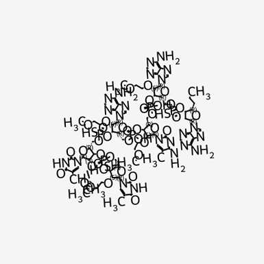 CCC[C@H]1O[C@@H](n2cnc3c(N)ncnc32)CC1OP(=O)(S)OC[C@H]1O[C@@H](n2cnc3c(N)ncnc32)[C@@H](OCCOC)C1OP(=O)(O)OC[C@H]1O[C@@H](n2cc(C)c(N)nc2=O)[C@@H](OCCOC)C1OP(=O)(O)OC[C@H]1O[C@@H](n2cnc3c(N)ncnc32)[C@@H](OCCOC)C1OP(=O)(S)OC[C@H]1O[C@@H](n2cc(C)c(=O)[nH]c2=O)[C@@H](OCCOC)C1OP(=O)(S)OC[C@H]1O[C@@H](n2cc(C)c(=O)[nH]c2=O)[C@@H](OCCOC)C1O